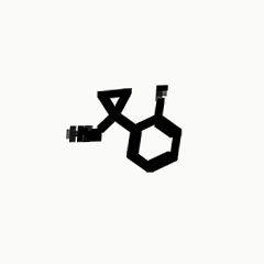 Fc1ccccc1[C]1([SnH])CC1